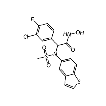 CS(=O)(=O)N(c1ccc2sccc2c1)C(C(=O)NO)c1ccc(F)c(Cl)c1